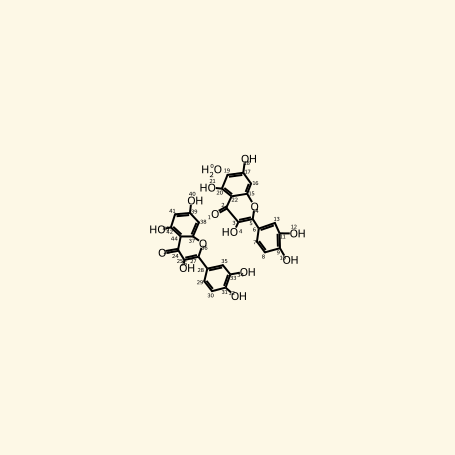 O.O=c1c(O)c(-c2ccc(O)c(O)c2)oc2cc(O)cc(O)c12.O=c1c(O)c(-c2ccc(O)c(O)c2)oc2cc(O)cc(O)c12